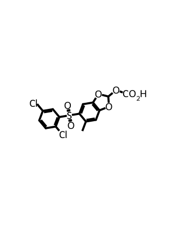 Cc1cc2c(cc1S(=O)(=O)c1cc(Cl)ccc1Cl)OC(OC(=O)O)O2